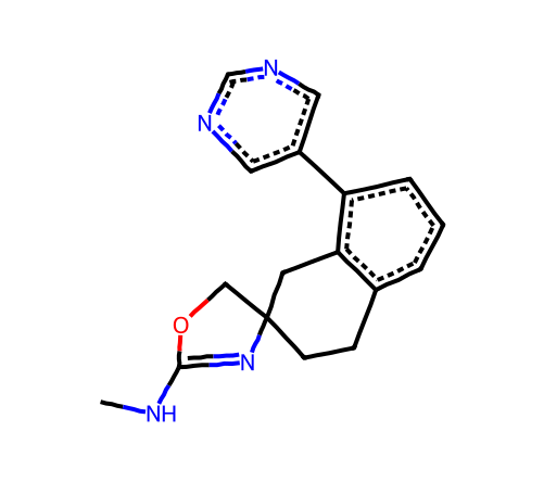 CNC1=NC2(CCc3cccc(-c4cncnc4)c3C2)CO1